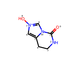 O=C1NCCc2c[n+](O)cn21